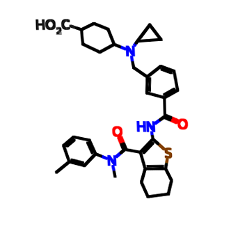 Cc1cccc(N(C)C(=O)c2c(NC(=O)c3cccc(CN(C4CCC(C(=O)O)CC4)C4CC4)c3)sc3c2CCCC3)c1